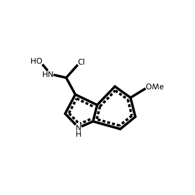 COc1ccc2[nH]cc(C(Cl)NO)c2c1